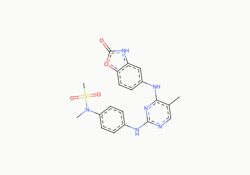 Cc1cnc(Nc2ccc(N(C)S(C)(=O)=O)cc2)nc1Nc1ccc2oc(=O)[nH]c2c1